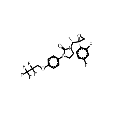 C[C@@H](N1CCN(c2ccc(OCC(F)(F)C(F)(F)F)cc2)C1=O)[C@]1(c2ccc(F)cc2F)CO1